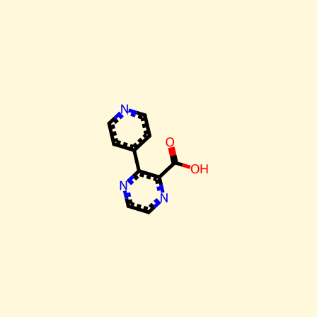 O=C(O)c1nccnc1-c1ccncc1